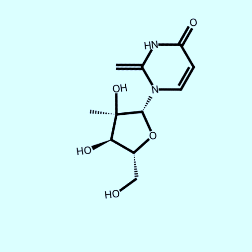 C=C1NC(=O)C=CN1[C@@H]1O[C@H](CO)[C@@H](O)[C@@]1(C)O